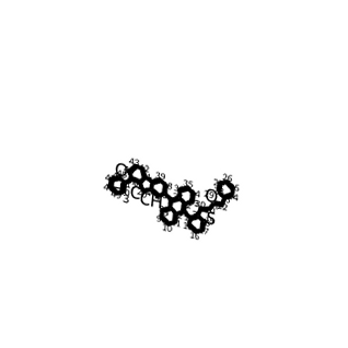 CC1(C)c2cc(-c3c4ccccc4c(-c4cccc5sc(-c6cc7ccccc7o6)cc45)c4ccccc34)ccc2-c2ccc3oc4ccccc4c3c21